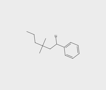 [Li][CH](CC(C)(C)CCC)c1ccccc1